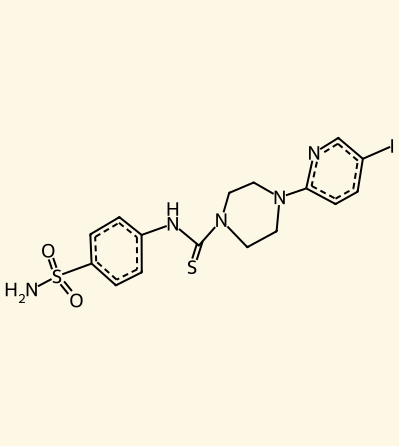 NS(=O)(=O)c1ccc(NC(=S)N2CCN(c3ccc(I)cn3)CC2)cc1